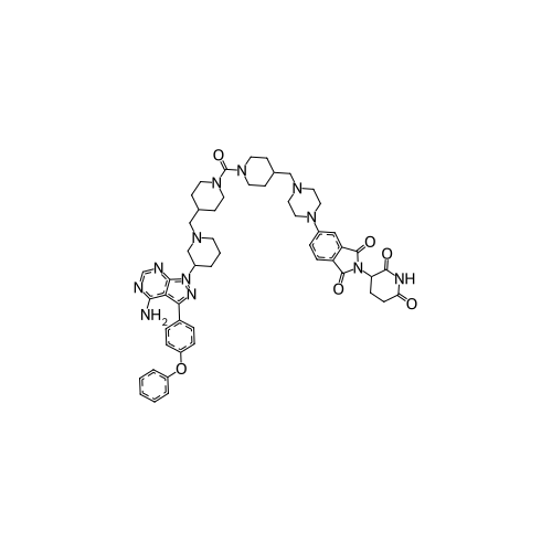 Nc1ncnc2c1c(-c1ccc(Oc3ccccc3)cc1)nn2C1CCCN(CC2CCN(C(=O)N3CCC(CN4CCN(c5ccc6c(c5)C(=O)N(C5CCC(=O)NC5=O)C6=O)CC4)CC3)CC2)C1